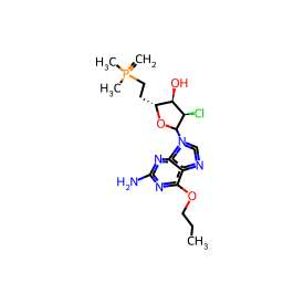 C=P(C)(C)CC[C@H]1OC(n2cnc3c(OCCC)nc(N)nc32)[C@H](Cl)[C@@H]1O